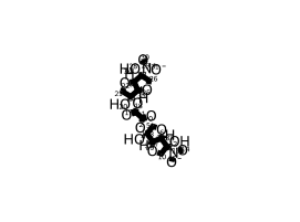 O=C(O[C@@]1(O)CO[C@H]2[C@@H]1OC[C@]2(O)[N+](=O)[O-])C(=O)O[C@@]1(O)CO[C@H]2[C@@H]1OC[C@]2(O)[N+](=O)[O-]